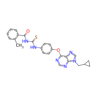 Cc1ccccc1C(=O)NC(=S)Nc1ccc(Oc2ncnc3c2ncn3CC2CC2)cc1